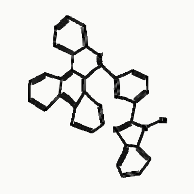 CCn1c(-c2cccc(-c3nc4ccccc4c4c5ccccc5c5ccccc5c34)c2)nc2ccccc21